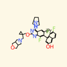 CC(C)c1cc2c(N3CC4CCC(C3)N4)nc(OCC3(CN4CC5COCC5C4)CC3)nc2c(F)c1-c1cc(O)cc2ccc(F)c(F)c12